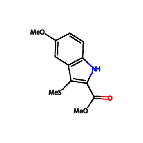 COC(=O)c1[nH]c2ccc(OC)cc2c1SC